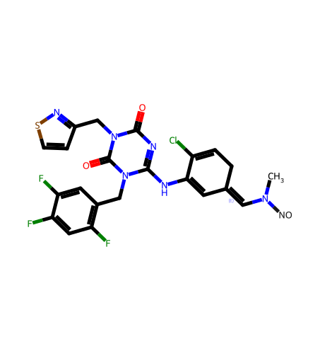 CN(/C=C1/C=C(Nc2nc(=O)n(Cc3ccsn3)c(=O)n2Cc2cc(F)c(F)cc2F)C(Cl)=CC1)N=O